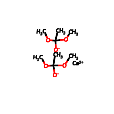 COC(C)([O-])OC.COC(C)([O-])OC.[Ca+2]